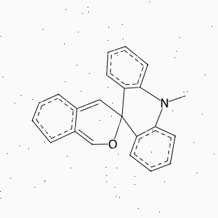 CN1c2ccccc2C2(C=c3ccccc3=CO2)c2ccccc21